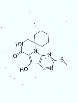 CSc1ncc2c(O)c3n(c2n1)C1(CCCCC1)CNC3=O